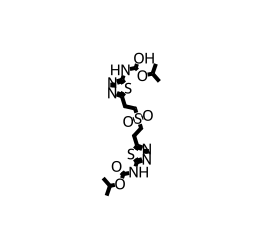 CC(C)OC(=O)Nc1nnc(CCS(=O)(=O)CCc2nnc(NC(O)OC(C)C)s2)s1